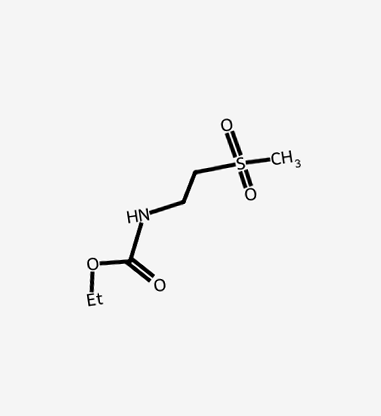 CCOC(=O)NCCS(C)(=O)=O